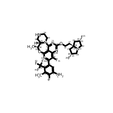 Cc1c(F)c(N)cc(-c2nc3c4c(nc(OCC[C@@]56C[C@H](F)CN5C[C@H](F)C6)nc4c2F)N2CCNC[C@H]2[C@H](C)O3)c1C(F)(F)F